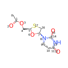 CC(=O)OC[C@@H]1O[C@H](n2ccc(=O)[nH]c2=O)CS1